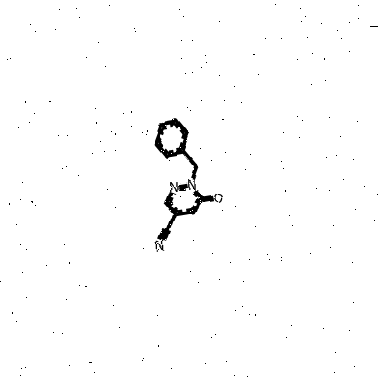 N#Cc1cnn(Cc2ccccc2)c(=O)c1